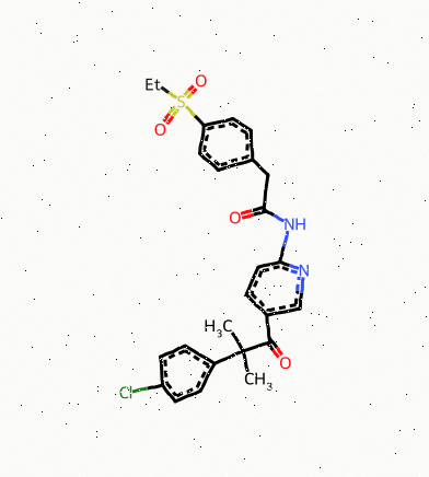 CCS(=O)(=O)c1ccc(CC(=O)Nc2ccc(C(=O)C(C)(C)c3ccc(Cl)cc3)cn2)cc1